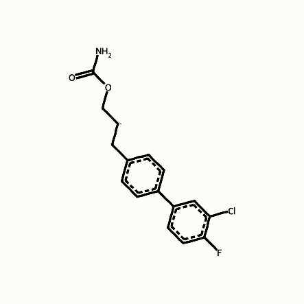 NC(=O)OC[CH]Cc1ccc(-c2ccc(F)c(Cl)c2)cc1